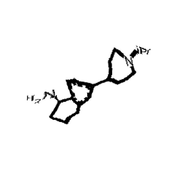 CC(C)N1CCC(c2ccc3c(c2)CCC[C@H]3N)CC1